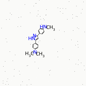 CNc1ccc(-c2cc(-c3ccc(N(C)C)cc3)[nH]n2)cc1